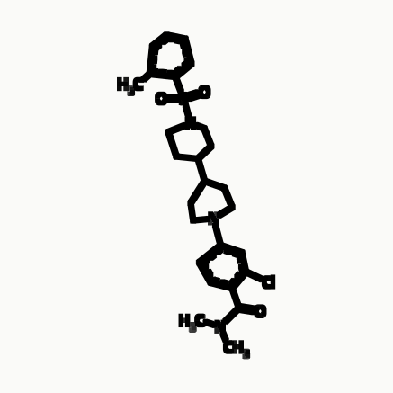 Cc1ccccc1S(=O)(=O)N1CCC(C2CCN(c3ccc(C(=O)N(C)C)c(Cl)c3)CC2)CC1